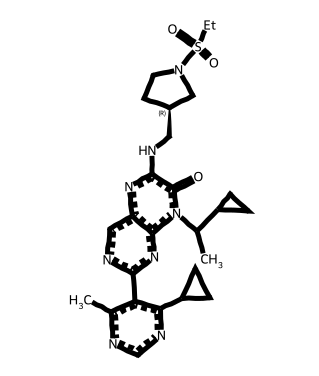 CCS(=O)(=O)N1CC[C@H](CNc2nc3cnc(-c4c(C)ncnc4C4CC4)nc3n(C(C)C3CC3)c2=O)C1